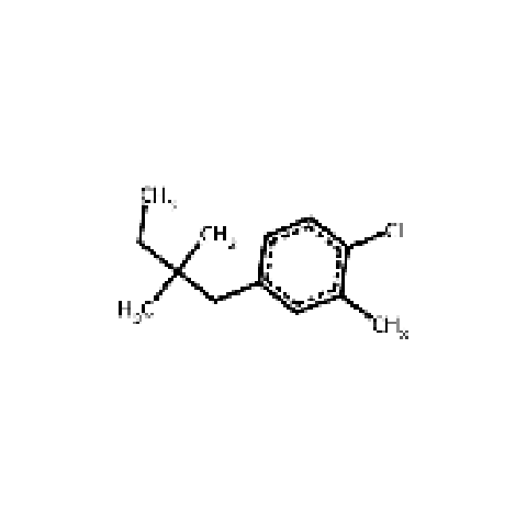 CCC(C)(C)Cc1ccc(Cl)c(C)c1